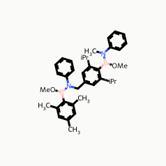 COB(c1c(C(C)C)cc(CN(B(OC)c2c(C)cc(C)cc2C)c2ccccc2)cc1C(C)C)N(C)c1ccccc1